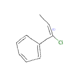 C/C=C(/Cl)c1ccccc1